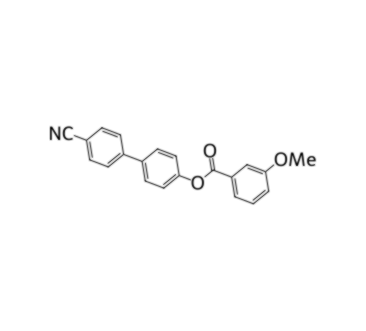 COc1cccc(C(=O)Oc2ccc(-c3ccc(C#N)cc3)cc2)c1